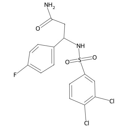 NC(=O)CC(NS(=O)(=O)c1ccc(Cl)c(Cl)c1)c1ccc(F)cc1